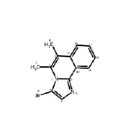 Cc1c(C)n2c(Br)cnc2c2ccccc12